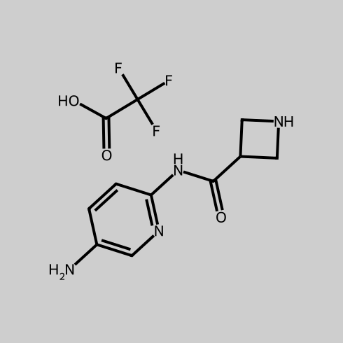 Nc1ccc(NC(=O)C2CNC2)nc1.O=C(O)C(F)(F)F